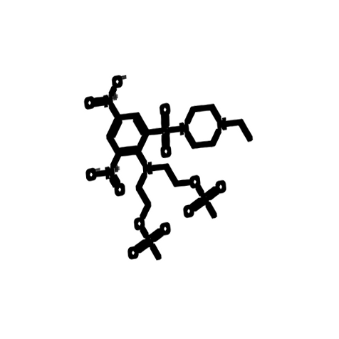 CCN1CCN(S(=O)(=O)c2cc([N+](=O)[O-])cc([N+](=O)[O-])c2N(CCOS(C)(=O)=O)CCOS(C)(=O)=O)CC1